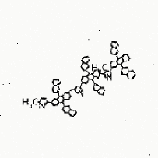 Cc1ccc(-c2ccc3c(-c4ccc5ccccc5c4)c4ccc(Cc5cncc(-c6ccc7c(-c8ccc9ccccc9c8)c8ccc(-c9cncc(-c%10ccc%11c(-c%12ccc%13ccccc%13c%12)c%12ccccc%12c(-c%12ccc%13ccccc%13c%12)c%11c%10)c9C)cc8c(-c8ccc9ccccc9c8)c7c6)c5)cc4c(-c4ccc5ccccc5c4)c3c2)cn1